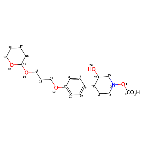 O=C(O)ON1CCC(c2ccc(OCCCOC3CCCCO3)cc2)C(O)C1